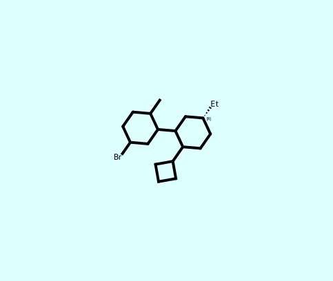 CC[C@@H]1CCC(C2CCC2)C(C2CC(Br)CCC2C)C1